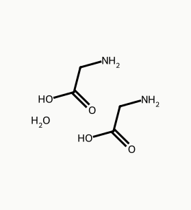 NCC(=O)O.NCC(=O)O.O